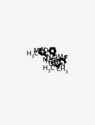 COc1cccc(OC)c1-n1c(NS(=O)(=O)[C@@H](C)[C@H](C)c2ncc(F)cn2)nnc1-c1cncc(C)c1